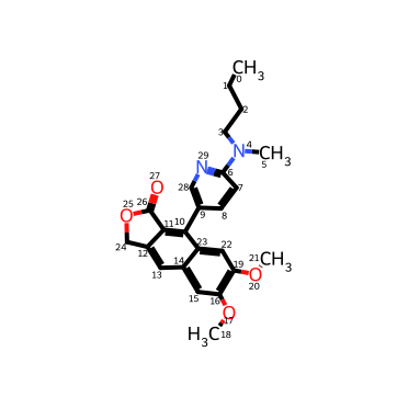 CCCCN(C)c1ccc(-c2c3c(cc4cc(OC)c(OC)cc24)COC3=O)cn1